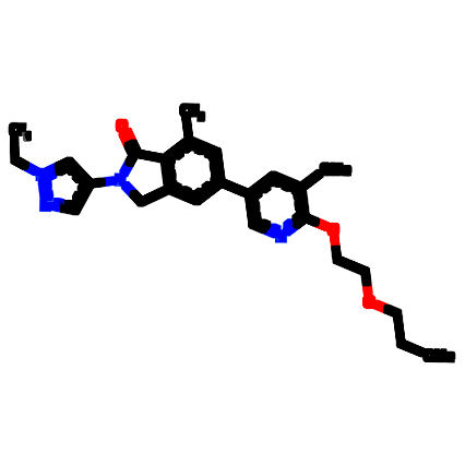 COCCOCCOc1ncc(-c2cc(C)c3c(c2)CN(c2cnn(CC(F)(F)F)c2)C3=O)cc1OC